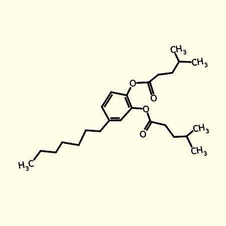 CCCCCCCc1ccc(OC(=O)CCC(C)C)c(OC(=O)CCC(C)C)c1